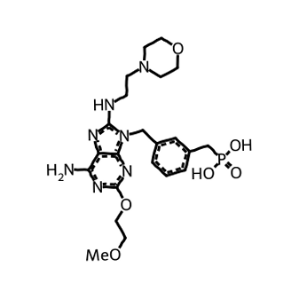 COCCOc1nc(N)c2nc(NCCN3CCOCC3)n(Cc3cccc(CP(=O)(O)O)c3)c2n1